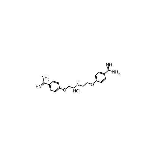 Cl.N=C(N)c1ccc(OCCNCCOc2ccc(C(=N)N)cc2)cc1